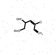 C=C/C(Cl)=C\C(C=O)COC